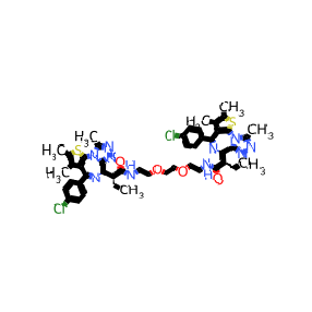 CC[C@@H](C(=O)NCCOCCOCCNC(=O)[C@H](CC)[C@@H]1N=C(c2ccc(Cl)cc2)c2c(sc(C)c2C)-n2c(C)nnc21)[C@@H]1N=C(c2ccc(Cl)cc2)c2c(sc(C)c2C)-n2c(C)nnc21